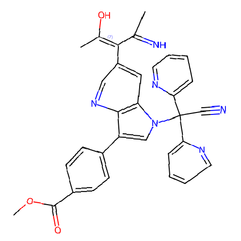 COC(=O)c1ccc(-c2cn(C(C#N)(c3ccccn3)c3ccccn3)c3cc(/C(C(C)=N)=C(\C)O)cnc23)cc1